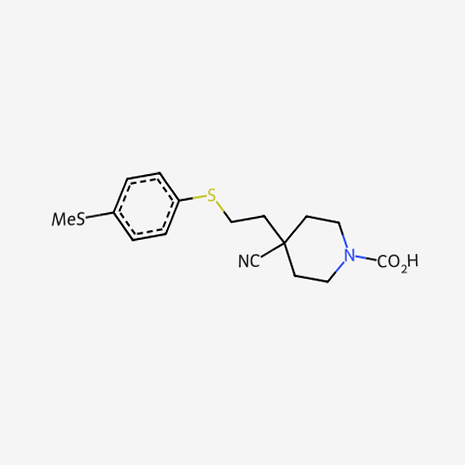 CSc1ccc(SCCC2(C#N)CCN(C(=O)O)CC2)cc1